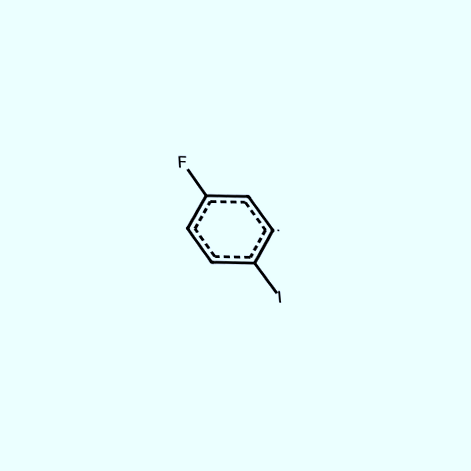 Fc1c[c]c(I)cc1